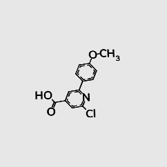 COc1ccc(-c2cc(C(=O)O)cc(Cl)n2)cc1